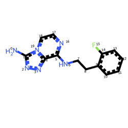 Nc1nnc2c(NCCc3ccccc3F)nccn12